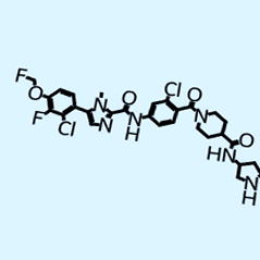 Cn1c(-c2ccc(OCF)c(F)c2Cl)cnc1C(=O)Nc1ccc(C(=O)N2CCC(C(=O)NC3CCNC3)CC2)c(Cl)c1